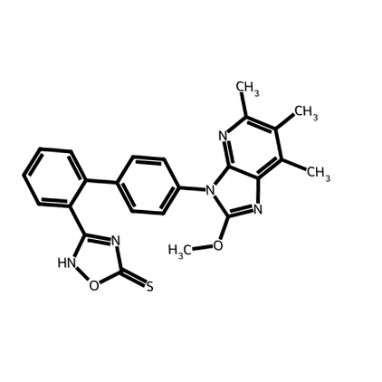 COc1nc2c(C)c(C)c(C)nc2n1-c1ccc(-c2ccccc2-c2nc(=S)o[nH]2)cc1